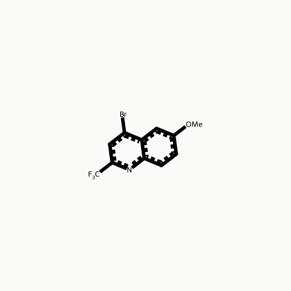 COc1ccc2nc(C(F)(F)F)cc(Br)c2c1